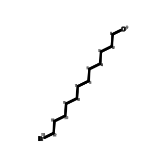 [O]CCCCCCCCCCCCBr